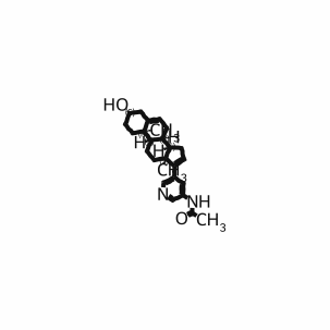 CC(=O)Nc1cncc(C2=CC[C@H]3[C@@H]4CC=C5C[C@@H](O)CC[C@]5(C)[C@H]4CC[C@]23C)c1